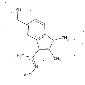 CC(=O)O/N=C(\C)c1c(C)n(C)c2ccc(CS)cc12